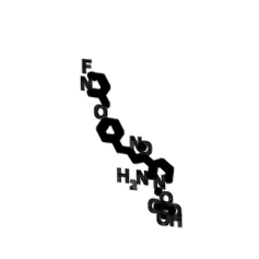 Nc1c(-c2cc(Cc3ccc(OCc4ccc(F)nc4)cc3)no2)ccc[n+]1COP(=O)([O-])O